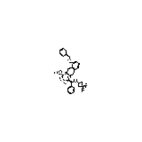 O=C(O)[C@H]1Cc2c(cccc2OCc2ccccc2)CN1C(=O)[C@@H](OC1CC(F)(F)C1)c1ccccc1